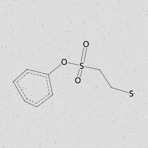 O=S(=O)(CC[S])Oc1ccccc1